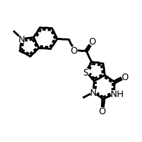 Cn1ccc2cc(COC(=O)c3cc4c(=O)[nH]c(=O)n(C)c4s3)ccc21